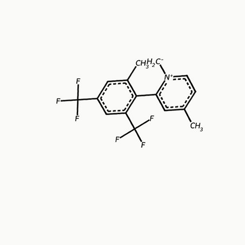 [CH2-][n+]1ccc(C)cc1-c1c(C)cc(C(F)(F)F)cc1C(F)(F)F